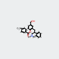 CC(C)N(CC(Cc1cc(CO)ccc1OC(=O)c1ccc([N+](=O)[O-])cc1)c1ccccc1)C(C)C